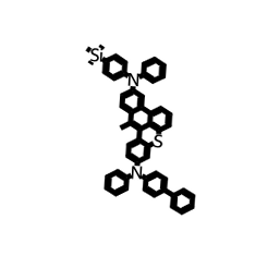 Cc1c2c3c(cccc3c3cc(N(c4ccccc4)c4ccc([Si](C)(C)C)cc4)ccc13)Sc1cc(N(c3ccccc3)c3ccc(-c4ccccc4)cc3)ccc1-2